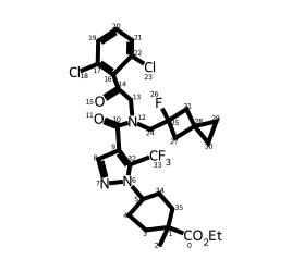 CCOC(=O)C1(C)CCC(n2ncc(C(=O)N(CC(=O)c3c(Cl)cccc3Cl)CC3(F)CC4(CC4)C3)c2C(F)(F)F)CC1